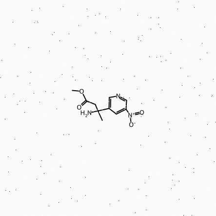 COC(=O)CC(C)(N)c1cncc([N+](=O)[O-])c1